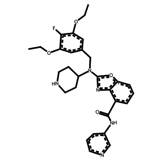 CCOc1cc(CN(c2nc3c(C(=O)Nc4cccnc4)cccc3o2)C2CCNCC2)cc(OCC)c1F